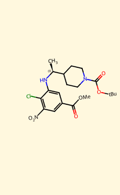 COC(=O)c1cc(N[C@@H](C)C2CCN(C(=O)OC(C)(C)C)CC2)c(Cl)c([N+](=O)[O-])c1